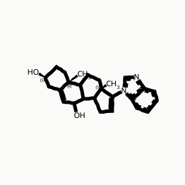 C[C@]12CC[C@H](O)CC1=CC(O)C1C2CC[C@]2(C)C(n3cnc4ccccc43)=CCC12